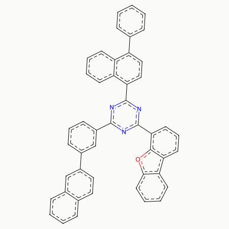 c1ccc(-c2ccc(-c3nc(-c4cccc(-c5ccc6ccccc6c5)c4)nc(-c4cccc5c4oc4ccccc45)n3)c3ccccc23)cc1